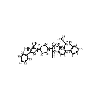 O=C(Nc1ccc(-c2ccccc2Cl)n(CC2CC2)c1=O)N1CCC(n2cc(-c3ccccc3)[nH]c2=O)CC1